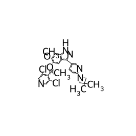 COc1cc2[nH]nc(-c3ccc(N4CC(C)(C)C4)nc3)c2cc1O[C@H](C)c1c(Cl)cncc1Cl